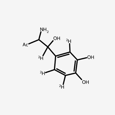 [2H]c1c([2H])c(C([2H])(O)C(N)C(C)=O)c([2H])c(O)c1O